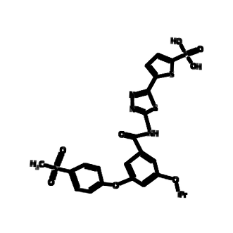 CC(C)Oc1cc(Oc2ccc(S(C)(=O)=O)cc2)cc(C(=O)Nc2nnc(-c3ccc(P(=O)(O)O)s3)s2)c1